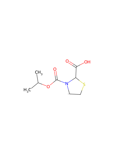 CC(C)OC(=O)N1[CH]CSC1C(=O)O